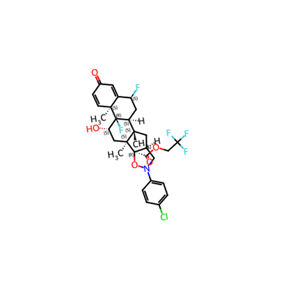 C[C@]12C[C@H](O)[C@@]3(F)[C@@H](C[C@H](F)C4=CC(=O)C=C[C@@]43C)[C@]1(C)C[C@H]1CN(c3ccc(Cl)cc3)O[C@]12C(=O)OCC(F)(F)F